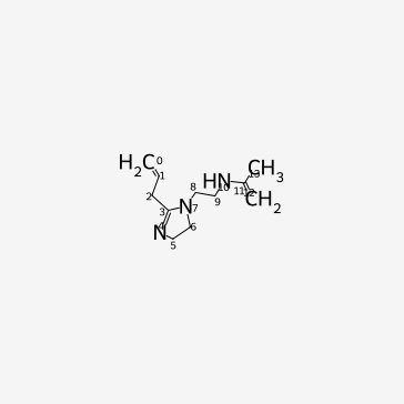 C=CCC1=NCCN1CCNC(=C)C